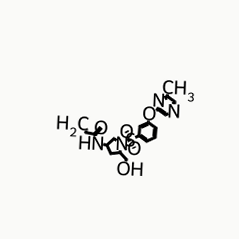 C=CC(=O)NC1CC(CO)N(S(=O)(=O)c2cccc(Oc3cncc(C)n3)c2)C1